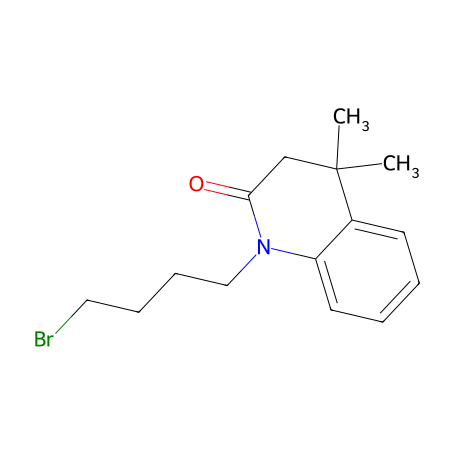 CC1(C)CC(=O)N(CCCCBr)c2ccccc21